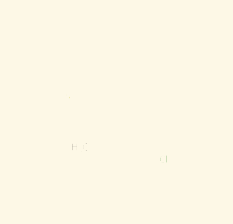 CC(=CCCl)c1cccs1